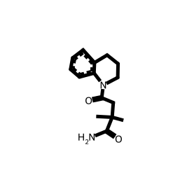 CC(C)(CC(=O)N1CCCc2ccccc21)C(N)=O